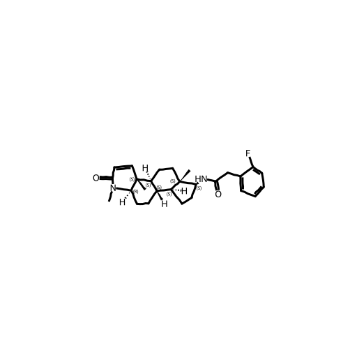 CN1C(=O)C=C[C@]2(C)[C@H]3CC[C@]4(C)[C@@H](NC(=O)Cc5ccccc5F)CC[C@H]4[C@@H]3CC[C@@H]12